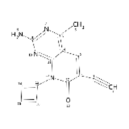 C#Cc1cc2c(C)nc(N)nc2n(C2=CC=C2)c1=O